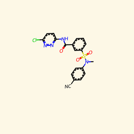 CN(c1ccc(C#N)cc1)S(=O)(=O)c1cccc(C(=O)Nc2ccc(Cl)nn2)c1